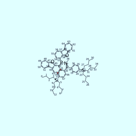 CCCC[Si](CCCC)(CCCC)c1ccc(P(c2ccc([Si](CCCC)(CCCC)CCCC)cc2)N(C)P(c2cccc3c2oc2ccccc23)c2cccc3c2oc2ccccc23)cc1